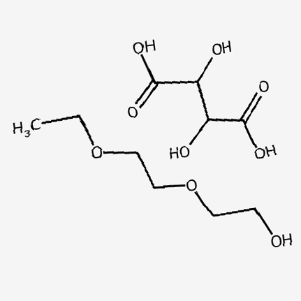 CCOCCOCCO.O=C(O)C(O)C(O)C(=O)O